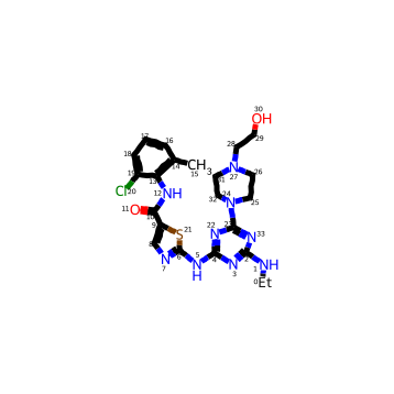 CCNc1nc(Nc2ncc(C(=O)Nc3c(C)cccc3Cl)s2)nc(N2CCN(CCO)CC2)n1